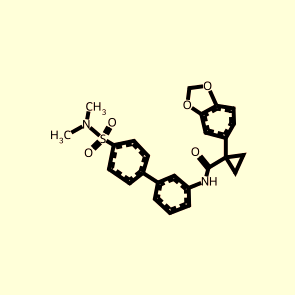 CN(C)S(=O)(=O)c1ccc(-c2cccc(NC(=O)C3(c4ccc5c(c4)OCO5)CC3)c2)cc1